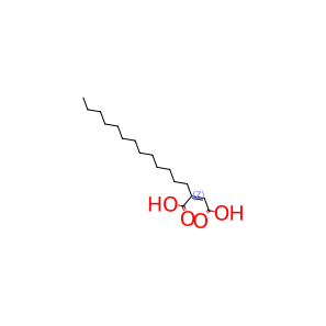 CCCCCCCCCCCCC/C(=C/C(=O)O)C(=O)O